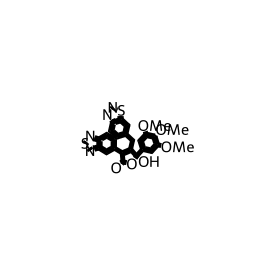 COc1cc(C2(O)OC(=O)C(c3ccc4nsnc4c3)=C2Cc2ccc3nnsc3c2)cc(OC)c1OC